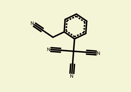 N#CCc1ccccc1C(C#N)(C#N)C#N